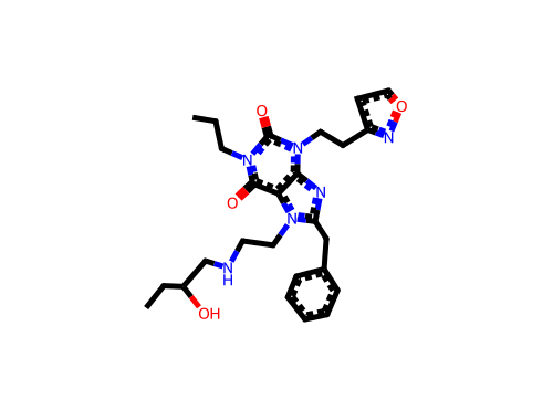 CCCn1c(=O)c2c(nc(Cc3ccccc3)n2CCNCC(O)CC)n(CCc2ccon2)c1=O